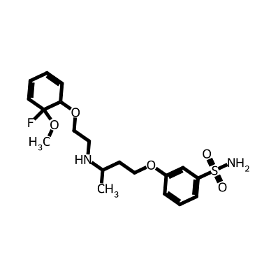 COC1(F)C=CC=CC1OCCNC(C)CCOc1cccc(S(N)(=O)=O)c1